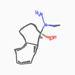 CN(N)[C@]1(O)CCc2ccccc21